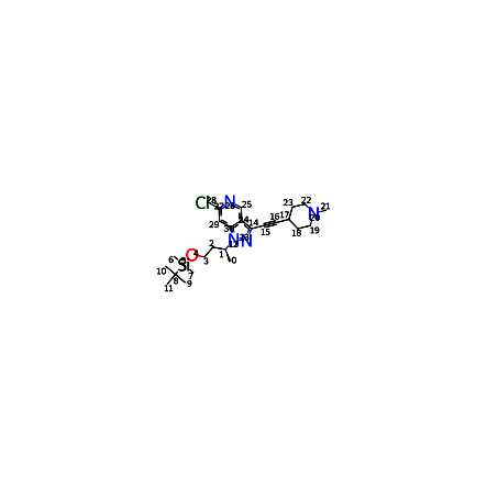 C[C@@H](CCO[Si](C)(C)C(C)(C)C)n1nc(C#CC2CCN(C)CC2)c2cnc(Cl)cc21